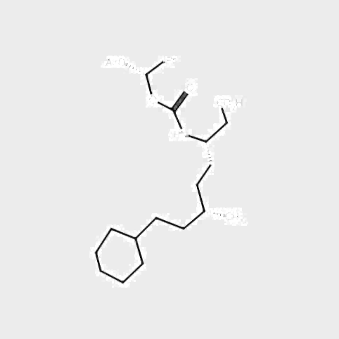 CC(=O)O[C@@H](OC(=O)N[C@@H](CC[C@H](C)CCC1CCCCC1)CC(=O)O)C(C)C